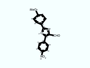 COc1ccc(-c2nc(C=O)c(-c3ccc([N+](=O)[O-])cc3)o2)cc1